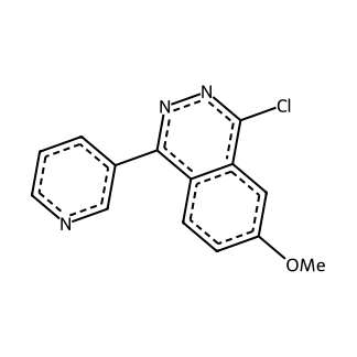 COc1ccc2c(-c3cccnc3)nnc(Cl)c2c1